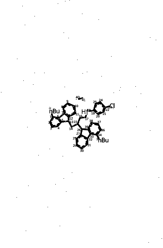 CCCCc1cccc2c1-c1ccccc1C2CC(C[CH2][Hf][c]1ccc(Cl)cc1)C1c2ccccc2-c2c(CCCC)cccc21.[CH2]C